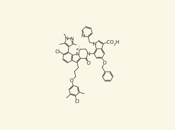 Cc1cc(OCCCc2c3n(c4c(-c5c(C)nn(C)c5C)c(Cl)ccc24)[C@H](C)CN(c2cc(OCc4ccccc4)cc4c(C(=O)O)cn(Cc5ccccn5)c24)C3=O)cc(C)c1Cl